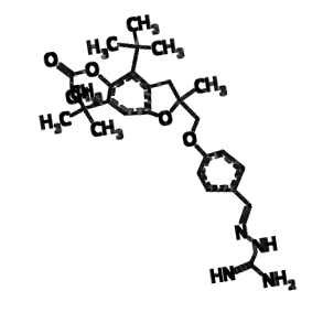 CC(=O)Oc1c(C(C)(C)C)cc2c(c1C(C)(C)C)CC(C)(COc1ccc(C=NNC(=N)N)cc1)O2